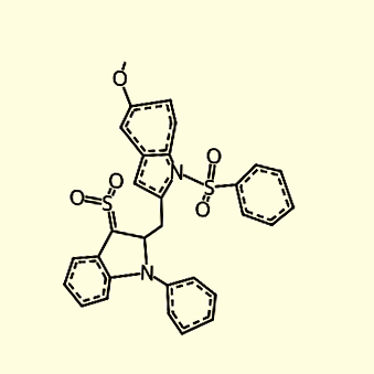 COc1ccc2c(c1)cc(CC1C(=S(=O)=O)c3ccccc3N1c1ccccc1)n2S(=O)(=O)c1ccccc1